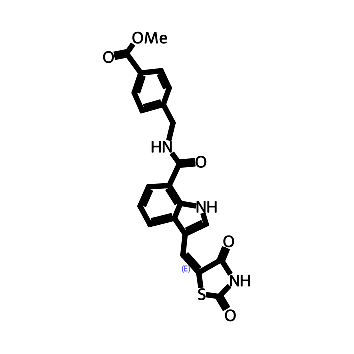 COC(=O)c1ccc(CNC(=O)c2cccc3c(/C=C4/SC(=O)NC4=O)c[nH]c23)cc1